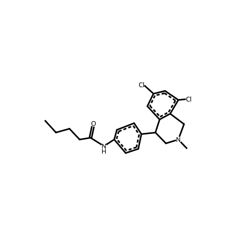 CCCCC(=O)Nc1ccc(C2CN(C)Cc3c(Cl)cc(Cl)cc32)cc1